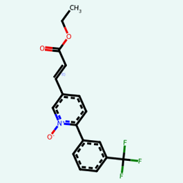 CCOC(=O)/C=C/c1ccc(-c2cccc(C(F)(F)F)c2)[n+]([O-])c1